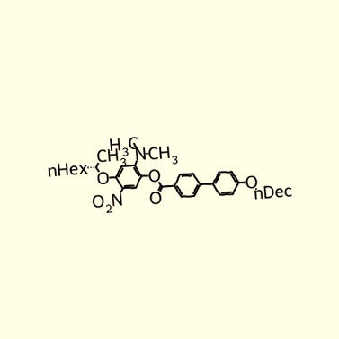 CCCCCCCCCCOc1ccc(-c2ccc(C(=O)Oc3cc([N+](=O)[O-])c(O[C@@H](C)CCCCCC)cc3N(C)C)cc2)cc1